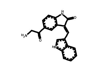 NCC(=O)c1ccc2c(c1)/C(=C\c1c[nH]c3ccccc13)C(=O)N2